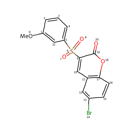 COc1cccc(S(=O)(=O)c2cc3cc(Br)ccc3oc2=O)c1